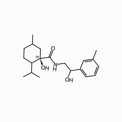 Cc1cccc(C(O)CNC(=O)[C@@]2(O)CC(C)CCC2C(C)C)c1